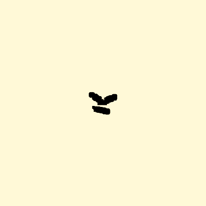 [O]=[Mn]=[O].[O]=[Y]